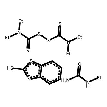 CCN(CC)C(=S)SSC(=S)N(CC)CC.CCNC(N)=O.Sc1nc2ccccc2s1